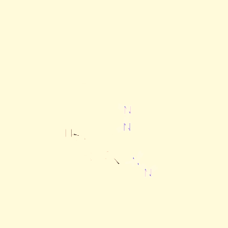 CC1(C)[C@@H]2CC[C@@]1(Cn1cccn1)c1nnc(-c3ccccc3F)cc12